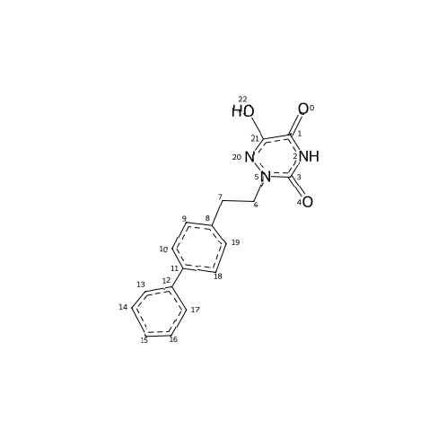 O=c1[nH]c(=O)n(CCc2ccc(-c3ccccc3)cc2)nc1O